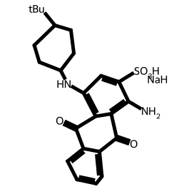 CC(C)(C)C1CCC(Nc2cc(S(=O)(=O)O)c(N)c3c2C(=O)c2ccccc2C3=O)CC1.[NaH]